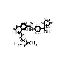 CC(=O)OC(C)CCC1NCCc2ccc(C(=O)Nc3ccc(C(=N)N4CCOCC4)cc3)cc21